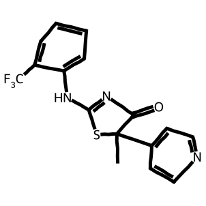 CC1(c2ccncc2)SC(Nc2ccccc2C(F)(F)F)=NC1=O